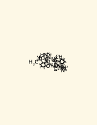 Cc1ncoc1-c1ccccc1N(CC1=NCCN1)OC(=O)/C=C/C(=O)ON(CC1=NCCN1)c1ccccc1-c1ocnc1C